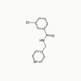 CCc1cccc(C(=O)NCc2ccncc2)c1